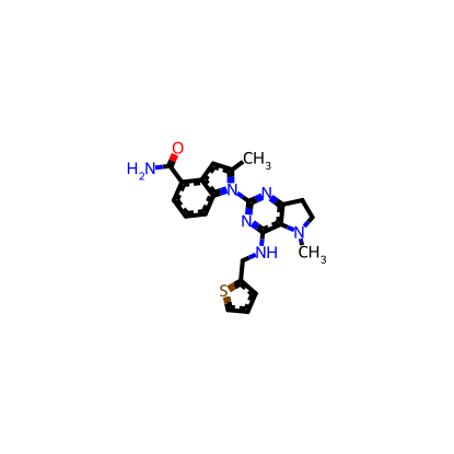 Cc1cc2c(C(N)=O)cccc2n1-c1nc2c(c(NCc3cccs3)n1)N(C)CC2